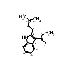 COC(=O)c1c(CCN(C)C)[nH]c2ccccc12